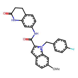 COc1ccc2cc(C(=O)Nc3ccc4c(c3)NC(=O)CC4)n(Cc3ccc(F)cc3)c2c1